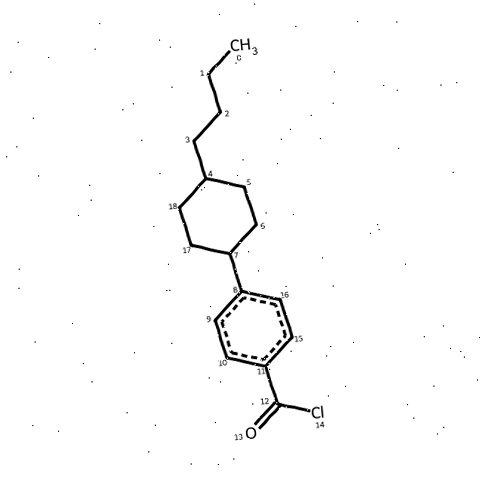 CCCCC1CCC(c2ccc(C(=O)Cl)cc2)CC1